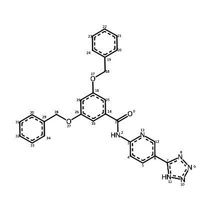 O=C(Nc1ccc(-c2nnn[nH]2)cn1)c1cc(OCc2ccccc2)cc(OCc2ccccc2)c1